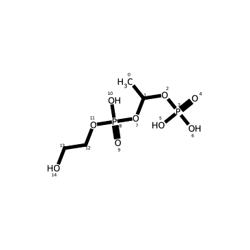 CC(OP(=O)(O)O)OP(=O)(O)OCCO